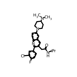 CC(C)NC(=O)Cc1cc2cc(N3CCC(N(C)C)CC3)ccc2nc1-c1ccc(F)c(Cl)c1